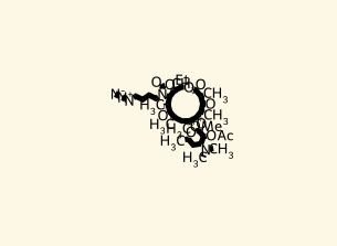 CCC1OC(=O)C(C)C(=O)C(C)[C@@H](OC2OC(C)CC(N(C)C)C2OC(C)=O)[C@@](C)(OC)C[C@@H](C)C(=O)[C@H](C)C2N(CCCCN=[N+]=[N-])C(=O)O[C@]12C